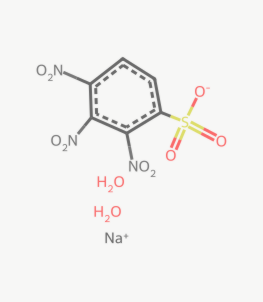 O.O.O=[N+]([O-])c1ccc(S(=O)(=O)[O-])c([N+](=O)[O-])c1[N+](=O)[O-].[Na+]